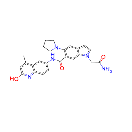 Cc1cc(O)nc2ccc(NC(=O)c3cc4c(ccn4CC(N)=O)cc3N3CCCC3)cc12